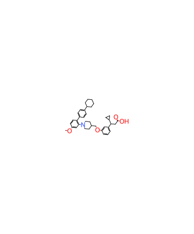 COc1ccc(-c2ccc(C3CCCCC3)cc2)c(N2CCC(COc3cccc(C(CC(=O)O)C4CC4)c3)CC2)c1